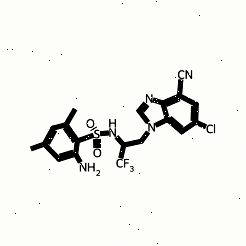 Cc1cc(C)c(S(=O)(=O)NC(Cn2cnc3c(C#N)cc(Cl)cc32)C(F)(F)F)c(N)c1